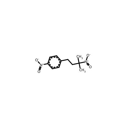 CC(C)(CCc1ccc([N+](=O)[O-])cc1)[N+](=O)[O-]